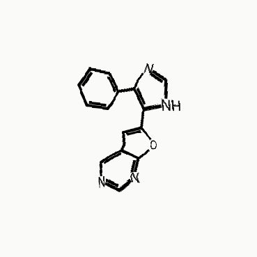 c1ccc(-c2nc[nH]c2-c2cc3cncnc3o2)cc1